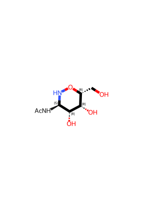 CC(=O)N[C@H]1NO[C@H](CO)[C@H](O)[C@@H]1O